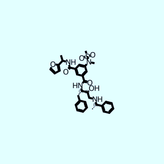 CC(NC(=O)c1cc(C(=O)N[C@@H](Cc2ccccc2)[C@H](O)CN[C@@H](C)c2ccccc2)cc(N(C)S(C)(=O)=O)c1)c1ccco1